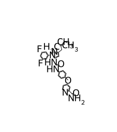 CC(C)(C)Cc1cc(NC(=O)Nc2ccc(Oc3ccnc(C(N)=O)c3)cc2)n(-c2cc(F)cc(F)c2)n1